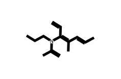 C=C/C(=C(C)\C=C\C)N(CCC)C(=C)C